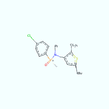 CC(C)N(c1cc(C(C)(C)C)sc1C(=O)O)[P@@](C)(=O)c1ccc(Cl)cc1